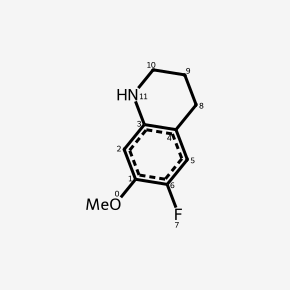 COc1cc2c(cc1F)CCCN2